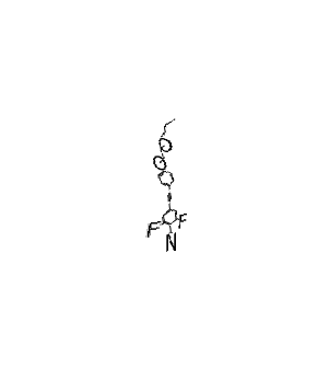 CCCCOCCOc1ccc(C#Cc2cc(F)c(C#N)c(F)c2)cc1